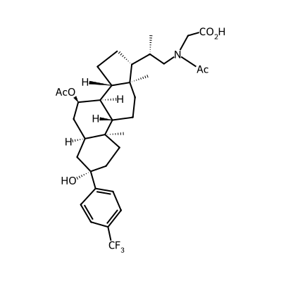 CC(=O)O[C@@H]1C[C@@H]2C[C@](O)(c3ccc(C(F)(F)F)cc3)CC[C@]2(C)[C@H]2CC[C@]3(C)[C@@H]([C@H](C)CN(CC(=O)O)C(C)=O)CC[C@H]3[C@H]12